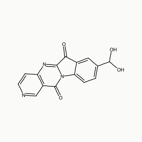 O=C1c2cc(C(O)O)ccc2-n2c1nc1ccncc1c2=O